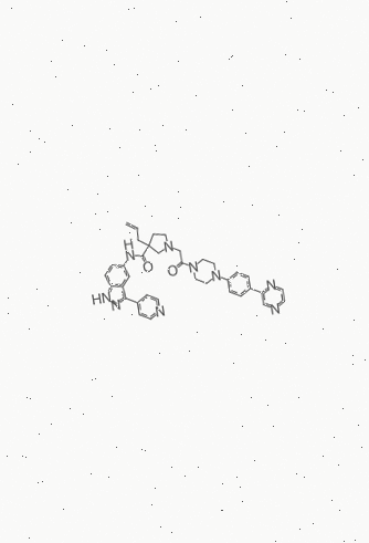 C=CCC1(C(=O)Nc2ccc3[nH]nc(-c4ccncc4)c3c2)CCN(CC(=O)N2CCN(c3ccc(-c4cnccn4)cc3)CC2)C1